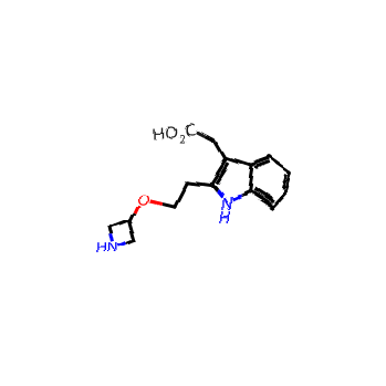 O=C(O)Cc1c(CCOC2CNC2)[nH]c2ccccc12